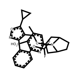 Cc1cc(N2C3CCC2CC(OCc2c(-c4ccccc4OC(F)F)noc2C2CC2)C3)ncc1C(=O)O